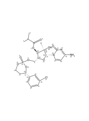 CC(C)C(=O)O[C@@H]1[C@@H](COP2(=O)OCC[C@@H](c3cccc(Cl)c3)O2)O[C@@H](n2ccc(N)nc2=O)[C@]1(C)O